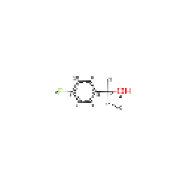 CCC(C)(O)c1ccc(F)cc1